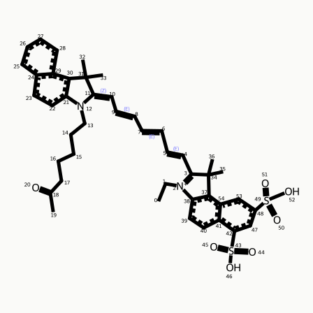 CC[N+]1=C(/C=C/C=C/C=C/C=C2\N(CCCCCC(C)=O)c3ccc4ccccc4c3C2(C)C)C(C)(C)c2c1ccc1c(S(=O)(=O)O)cc(S(=O)(=O)O)cc21